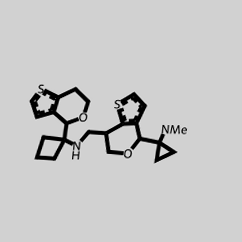 CNC1(C2OCC(CNC3(C4OCCc5sccc54)CCC3)c3sccc32)CC1